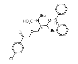 CC(C)(C)C(O[SiH](c1ccccc1)c1ccccc1)[C@@H](COCC(=O)c1ccc(Cl)cc1)N(C(=O)O)C(C)(C)C